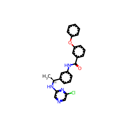 C[C@H](Nc1cncc(Cl)n1)c1cccc(NC(=O)c2cccc(Oc3ccccc3)c2)c1